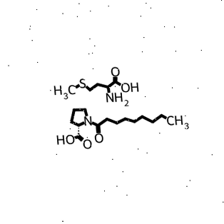 CCCCCCCCC(=O)N1CCC[C@H]1C(=O)O.CSCCC(N)C(=O)O